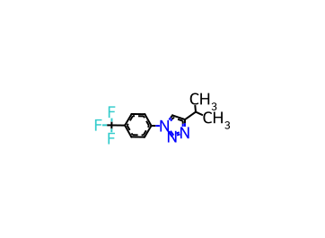 CC(C)c1cn(-c2ccc(C(F)(F)F)cc2)nn1